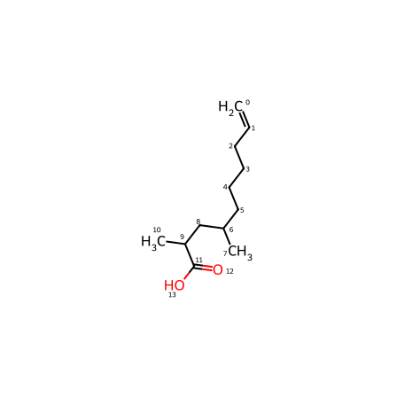 C=CCCCCC(C)CC(C)C(=O)O